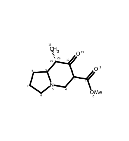 COC(=O)C1CN2CCCC2[C@H](C)C1=O